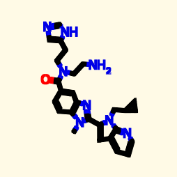 Cn1c(-c2cc3cccnc3n2CC2CC2)nc2cc(C(=O)N(CCN)CCc3cnc[nH]3)ccc21